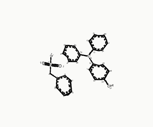 O=S(=O)([O-])Cc1ccccc1.Oc1ccc([S+](c2ccccc2)c2ccccc2)cc1